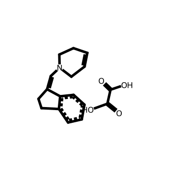 C1=CCN(/C=C2/CCc3ccccc32)CC1.O=C(O)C(=O)O